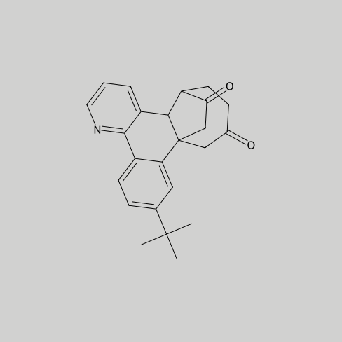 CC(C)(C)c1ccc2c(c1)C13CC(=O)CCC(C(=O)C1)C3c1cccnc1-2